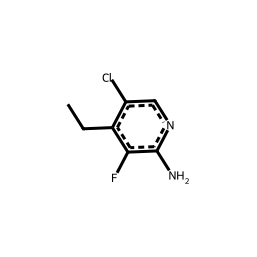 CCc1c(Cl)cnc(N)c1F